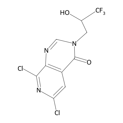 O=c1c2cc(Cl)nc(Cl)c2ncn1CC(O)C(F)(F)F